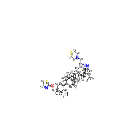 C=C(C)[C@@H]1CC[C@]2(NCCN3CCSCC3)CC[C@]3(C)[C@H](CC[C@@H]4[C@@H]5[C@@H](CC[C@]43C)C(C)(C)C(C3=CCC(COc4nccs4)(C(=O)O)CC3)=C[C@@H]5C)[C@@H]12